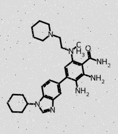 CN(CCN1CCCCC1)c1cc(-c2ccc3c(c2)ncn3C2CCCCC2)c(N)c(N)c1C(N)=O